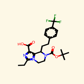 CCc1nc(C(=O)O)c2n1CCN(C(=O)OC(C)(C)C)C2CCc1ccc(C(F)(F)F)cc1